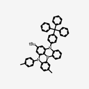 Cc1ccc(N2c3ccc(C)cc3B3c4ccccc4N(c4ccc(C(c5ccccc5)(c5ccccc5)c5ccccc5)cc4)c4cc(C(C)(C)C)cc2c43)cc1